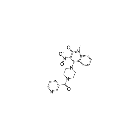 Cn1c(=O)c([N+](=O)[O-])c(N2CCN(C(=O)c3cccnc3)CC2)c2ccccc21